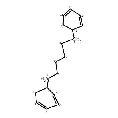 C1=CCC([SiH2]CCCC[SiH2]C2C=CC=CC2)C=C1